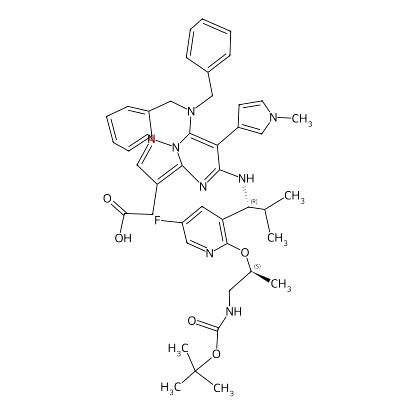 CC(C)[C@@H](Nc1nc2c(CC(=O)O)cnn2c(N(Cc2ccccc2)Cc2ccccc2)c1-c1ccn(C)c1)c1cc(F)cnc1O[C@@H](C)CNC(=O)OC(C)(C)C